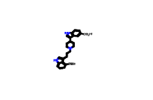 COc1cccc2[nH]cc(CCCN3CCC(c4c[nH]c5ccc(C(=O)O)cc45)CC3)c12